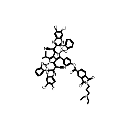 CCN(CC)CCCN1C(=O)c2ccc(C(=O)Oc3ccc(-c4c5/c(=C(\C#N)c6cnc7cc(Cl)c(Cl)cc7n6)n(B6Oc7ccccc7O6)c(C(C)C)c5/c(=C(\C#N)c5cnc6cc(Cl)c(Cl)cc6n5)n4B4Oc5ccccc5O4)cc3)cc2C1=O